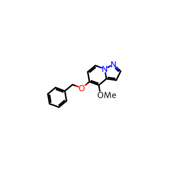 COc1c(OCc2ccccc2)ccn2nccc12